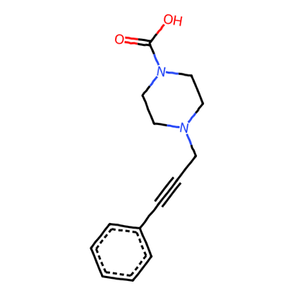 O=C(O)N1CCN(CC#Cc2ccccc2)CC1